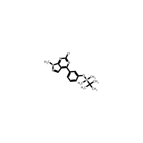 Cn1ncc2c(-c3cccc(O[Si](C)(C)C(C)(C)C)c3)nc(Cl)nc21